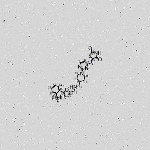 O=C1NC(=O)/C(=C/c2ccnc(N3CCC(CNCc4ccc(-c5ccccc5C(F)(F)F)o4)CC3)n2)S1